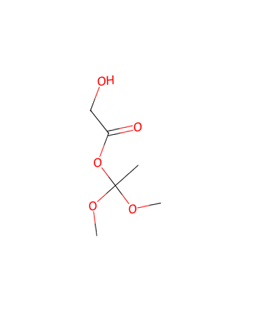 COC(C)(OC)OC(=O)CO